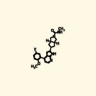 CNC(=O)N1C[C@H]2C[C@H](c3cc4c(-c5cc(F)ccc5OC)ccnc4[nH]3)C[C@H]2C1